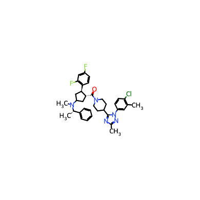 Cc1nc(C2CCN(C(=O)[C@@H]3CC(N(C)[C@@H](C)c4ccccc4)C[C@H]3c3ccc(F)cc3F)CC2)n(-c2ccc(Cl)c(C)c2)n1